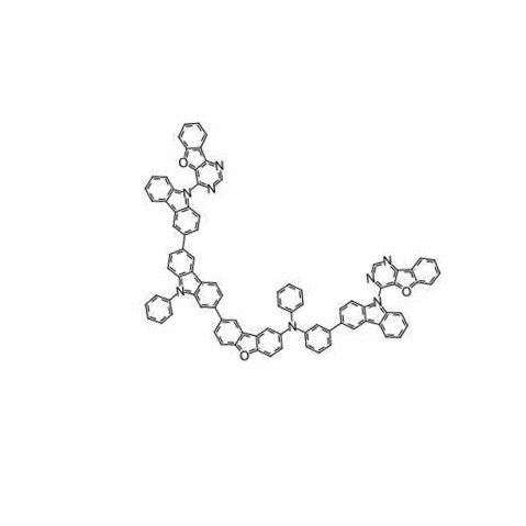 c1ccc(N(c2cccc(-c3ccc4c(c3)c3ccccc3n4-c3ncnc4c3oc3ccccc34)c2)c2ccc3oc4ccc(-c5ccc6c7cc(-c8ccc9c(c8)c8ccccc8n9-c8ncnc9c8oc8ccccc89)ccc7n(-c7ccccc7)c6c5)cc4c3c2)cc1